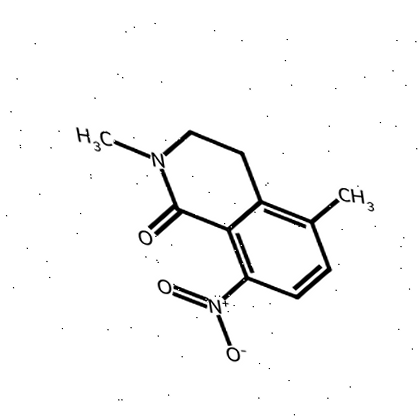 Cc1ccc([N+](=O)[O-])c2c1CCN(C)C2=O